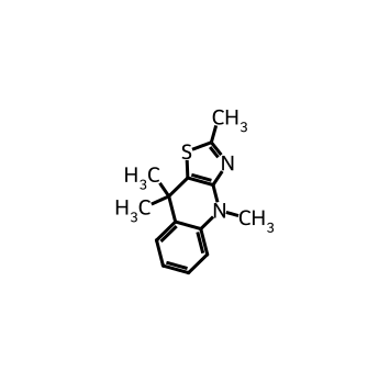 Cc1nc2c(s1)C(C)(C)c1ccccc1N2C